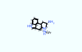 CCCNN1C[C@@H](N)CC2c3cccc4[nH]cc(c34)C[C@H]21